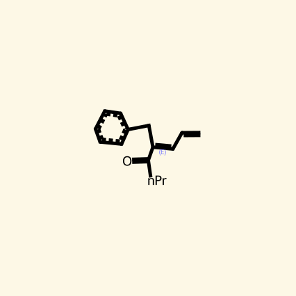 C=C/C=C(\Cc1ccccc1)C(=O)CCC